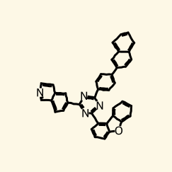 c1ccc2cc(-c3ccc(-c4nc(-c5ccc6cnccc6c5)nc(-c5cccc6oc7ccccc7c56)n4)cc3)ccc2c1